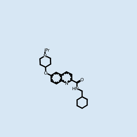 CC(C)N1CCC(Oc2ccc3nc(C(=O)NCC4CCCCC4)ccc3c2)CC1